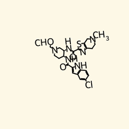 CN1CCc2nc(C(=O)N[C@@H]3CN(CC=O)CC[C@@H]3NC(=O)c3cc4cc(Cl)ccc4[nH]3)sc2C1